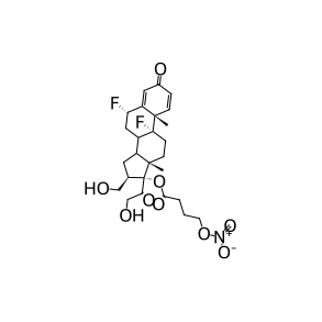 C[C@]12C=CC(=O)C=C1[C@@H](F)CC1C3C[C@H](CO)[C@](OC(=O)CCCO[N+](=O)[O-])(C(=O)CO)[C@@]3(C)CC[C@@]12F